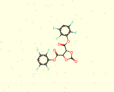 O=C1OC(C(=O)Oc2c(F)c(F)cc(F)c2F)C(C(=O)Oc2c(F)c(F)cc(F)c2F)O1